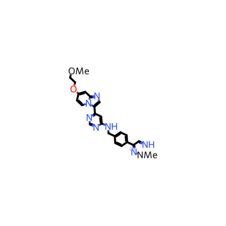 CN/N=C(\C=N)c1ccc(CNc2cc(-c3cnc4cc(OCCOC)ccn34)ncn2)cc1